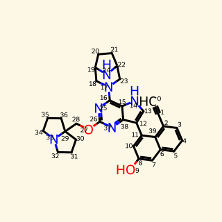 C#Cc1cccc2cc(O)cc(-c3c[nH]c4c(N5CC6CCC(C5)N6)nc(OCC56CCCN5CCC6)nc34)c12